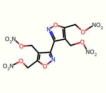 O=[N+]([O-])OCc1onc(-c2noc(CO[N+](=O)[O-])c2CO[N+](=O)[O-])c1CO[N+](=O)[O-]